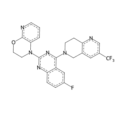 Fc1ccc2nc(N3CCOc4ncccc43)nc(N3CCc4ncc(C(F)(F)F)cc4C3)c2c1